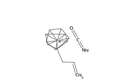 C=CC[C]12[CH]3[CH]4[CH]5[CH]1[Fe]45321678[CH]2[CH]1[CH]6[CH]7[CH]28.N=C=O